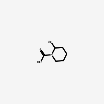 CC(=O)C1CCCCN1C(=O)C(C)(C)C